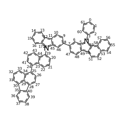 c1ccc(-n2c3cc(-c4ccc5c6ccccc6n(-c6cccc7c(-c8ccc9c%10c(cccc8%10)-c8ccccc8-9)cccc67)c5c4)ccc3c3ccc4ccccc4c32)cc1